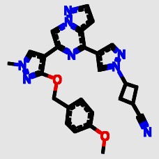 COc1ccc(COc2nn(C)cc2-c2cn3nccc3c(-c3cnn(C4CC(C#N)C4)c3)n2)cc1